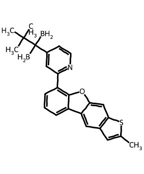 BC(B)(c1ccnc(-c2cccc3c2oc2cc4sc(C)cc4cc23)c1)C(C)(C)C